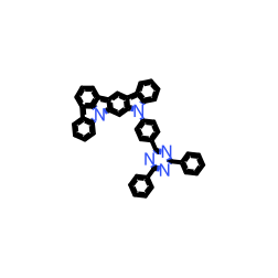 c1ccc(-c2nc(-c3ccccc3)nc(-c3ccc(-n4c5ccccc5c5cc6c7cccc8c9ccccc9n(c6cc54)c87)cc3)n2)cc1